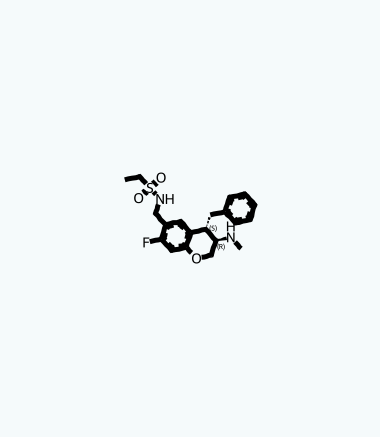 CCS(=O)(=O)NCc1cc2c(cc1F)OC[C@H](NC)[C@H]2Cc1ccccc1